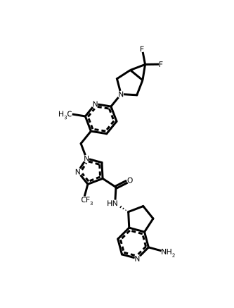 Cc1nc(N2CC3C(C2)C3(F)F)ccc1Cn1cc(C(=O)N[C@@H]2CCc3c2ccnc3N)c(C(F)(F)F)n1